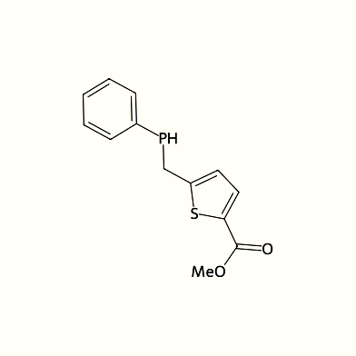 COC(=O)c1ccc(CPc2ccccc2)s1